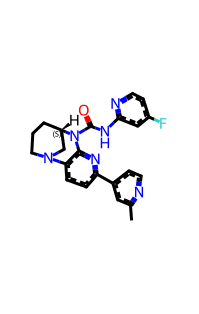 Cc1cc(-c2ccc3c(n2)N(C(=O)Nc2cc(F)ccn2)[C@H]2CCCN3C2)ccn1